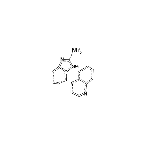 Nc1nc2ccccc2[nH]1.c1ccc2ncccc2c1